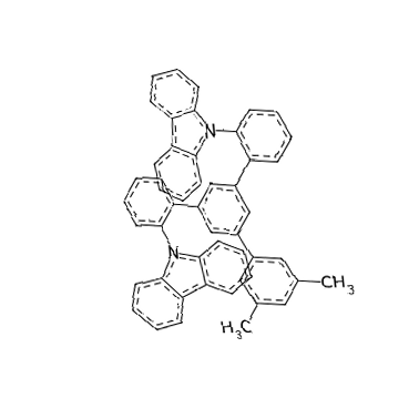 Cc1cc(C)cc(-c2cc(-c3ccccc3-n3c4ccccc4c4ccccc43)cc(-c3ccccc3-n3c4ccccc4c4ccccc43)c2)c1